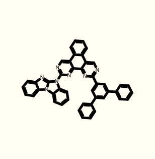 c1ccc(-c2cc(-c3ccccc3)cc(-c3ncc4c5ccccc5c5cnc(-n6c7ccccc7n7c8ccccc8nc67)nc5c4n3)c2)cc1